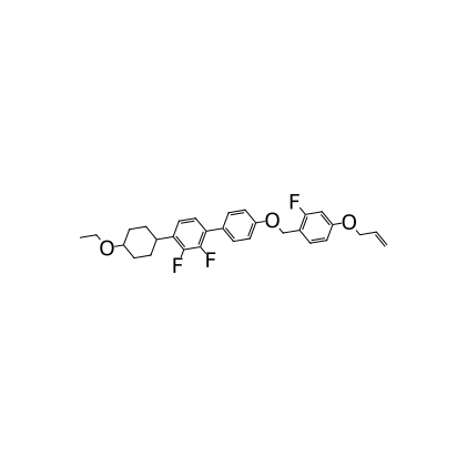 C=CCOc1ccc(COc2ccc(-c3ccc(C4CCC(OCC)CC4)c(F)c3F)cc2)c(F)c1